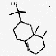 CC1CCC=C2CCC(C(C)(C)O)CC21C